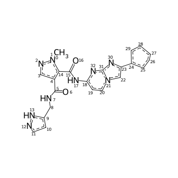 Cn1ncc(C(=O)NCc2ccn[nH]2)c1C(=O)Nc1ccn2cc(-c3ccccc3)nc2n1